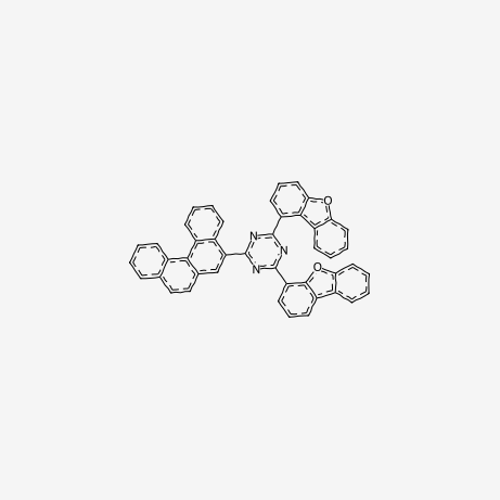 c1ccc2c(c1)ccc1cc(-c3nc(-c4cccc5c4oc4ccccc45)nc(-c4cccc5oc6ccccc6c45)n3)c3ccccc3c12